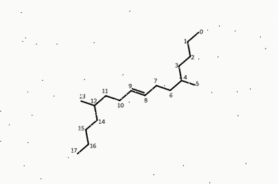 CCCCC(C)CC/C=C/CCC(C)CCCC